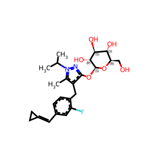 Cc1c(Cc2ccc(C=C3CC3)cc2F)c(O[C@@H]2O[C@H](CO)[C@@H](O)[C@H](O)[C@H]2O)nn1C(C)C